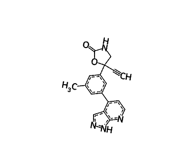 C#CC1(c2cc(C)cc(-c3ccnc4[nH]ncc34)c2)CNC(=O)O1